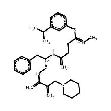 C=C(CC/C(=N/C)Sc1cccc(C(C)C)c1)N[C@H](CNC(=C)C(=C)CN1CCCCC1)Cc1ccccc1